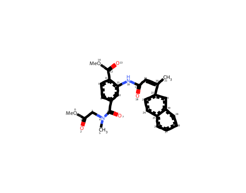 COC(=O)CN(C)C(=O)c1ccc(C(=O)OC)c(NC(=O)/C=C(/C)c2ccc3ccccc3c2)c1